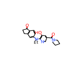 CCN(c1ccc2c(c1)CCC2=O)c1ncc(C(=O)N2CCCC2)cc1O